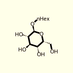 CCCCCCO[C@H]1O[C@H](CO)[C@H](O)[C@@H](O)[C@@H]1O